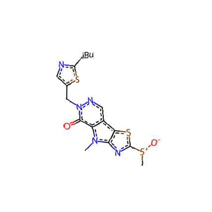 CCC(C)c1ncc(Cn2ncc3c4sc([S+](C)[O-])nc4n(C)c3c2=O)s1